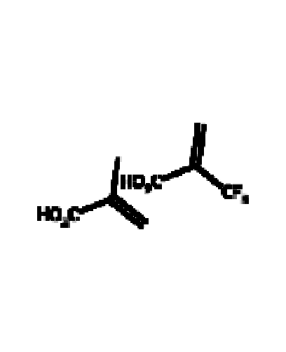 C=C(C(=O)O)C(F)(F)F.C=C(C)C(=O)O